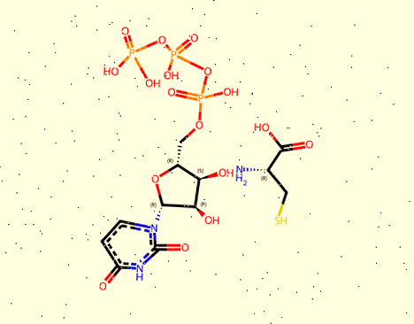 N[C@@H](CS)C(=O)O.O=c1ccn([C@@H]2O[C@H](COP(=O)(O)OP(=O)(O)OP(=O)(O)O)[C@@H](O)[C@H]2O)c(=O)[nH]1